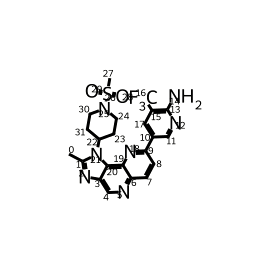 Cc1nc2cnc3ccc(-c4cnc(N)c(C(F)(F)F)c4)nc3c2n1C1CCN(S(C)(=O)=O)CC1